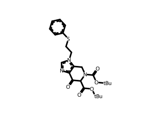 CC(C)(C)OC(=O)C1C(=O)c2ncn(CCSc3ccccc3)c2CN1C(=O)OC(C)(C)C